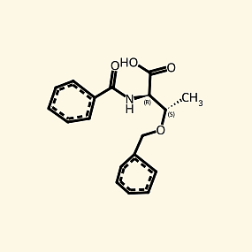 C[C@H](OCc1ccccc1)[C@@H](NC(=O)c1ccccc1)C(=O)O